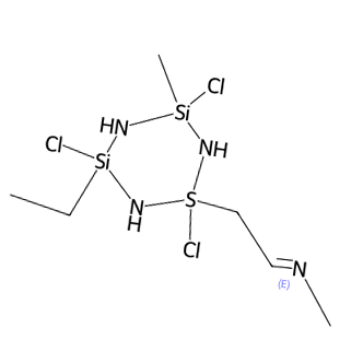 CC[Si]1(Cl)N[Si](C)(Cl)NS(Cl)(C/C=N/C)N1